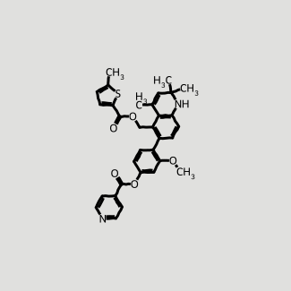 COc1cc(OC(=O)c2ccncc2)ccc1-c1ccc2c(c1COC(=O)c1ccc(C)s1)C(C)=CC(C)(C)N2